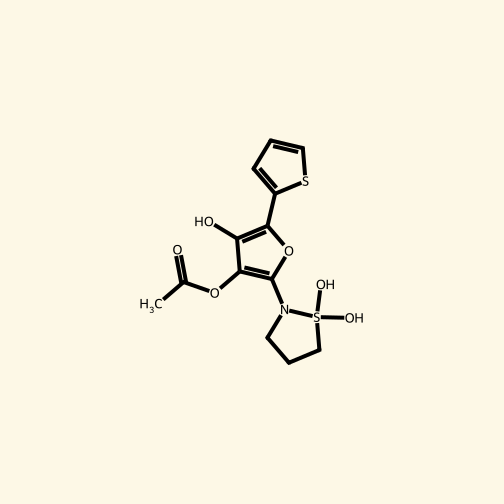 CC(=O)Oc1c(N2CCCS2(O)O)oc(-c2cccs2)c1O